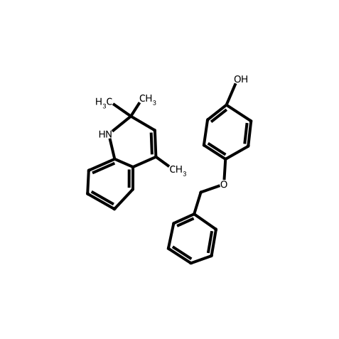 CC1=CC(C)(C)Nc2ccccc21.Oc1ccc(OCc2ccccc2)cc1